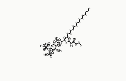 CCCCCCCCCCCCCCCC(=O)O[C@H](CCNC(=O)CCC)COP(=O)(O)OC1C(O)[C@@H](O)C(OP(=O)(O)O)[C@@H](OP(=O)(O)O)[C@H]1O